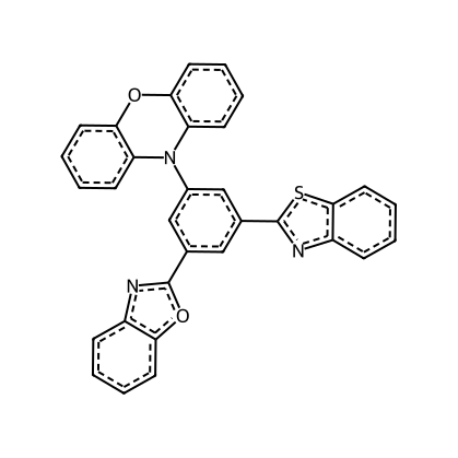 c1ccc2c(c1)Oc1ccccc1N2c1cc(-c2nc3ccccc3o2)cc(-c2nc3ccccc3s2)c1